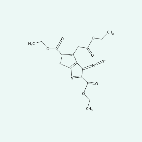 CCOC(=O)Cc1c(C(=O)OCC)sc2c1C(=[N+]=[N-])C(C(=O)OCC)=N2